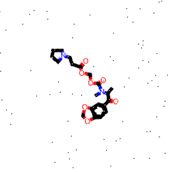 CC(C(=O)c1ccc2c(c1)OCO2)N(C)C(=O)OCOC(=O)CCN1CCCC1